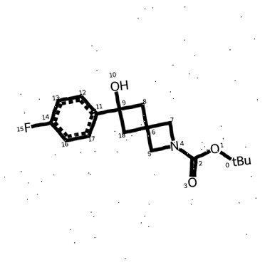 CC(C)(C)OC(=O)N1CC2(C1)CC(O)(c1ccc(F)cc1)C2